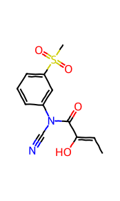 CC=C(O)C(=O)N(C#N)c1cccc(S(C)(=O)=O)c1